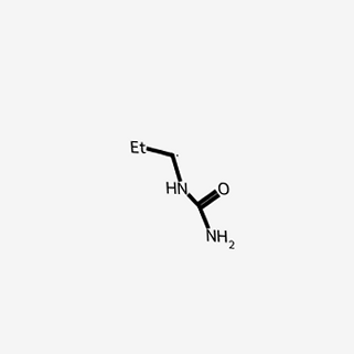 CC[CH]NC(N)=O